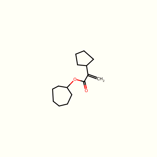 C=C(C(=O)OC1CCCCCC1)C1CCCC1